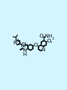 C=C(Nc1cnn(C(C)C)c1)Nc1ccc(Oc2ccnc3cc(OC)c(C(N)=O)cc23)cc1Cl